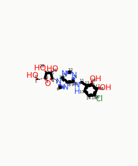 OC[C@H]1O[C@@H](n2cnc3c(NCc4ccc(Cl)c(O)c4O)ncnc32)[C@H](O)[C@@H]1O